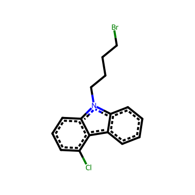 Clc1cccc2c1c1ccccc1n2CCCCBr